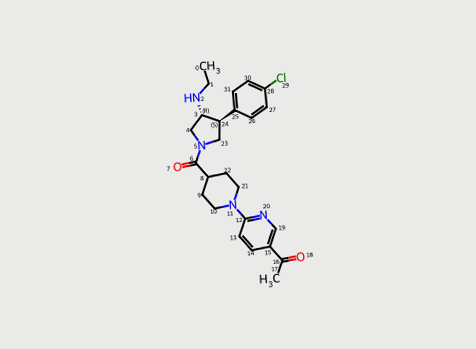 CCN[C@H]1CN(C(=O)C2CCN(c3ccc(C(C)=O)cn3)CC2)C[C@@H]1c1ccc(Cl)cc1